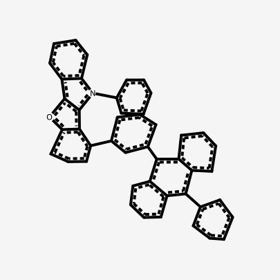 c1ccc(-c2c3ccccc3c(-c3cccc(-c4cccc5oc6c7ccccc7n(-c7ccccc7)c6c45)c3)c3ccccc23)cc1